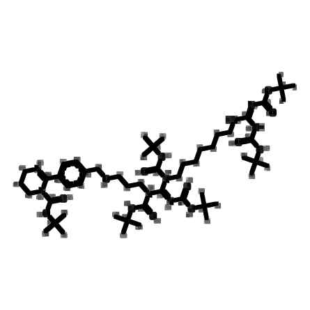 CC(C)(C)OC(=O)/N=C(/NCCCCCCCN(C(=O)OC(C)(C)C)/C(=N\C(=O)OC(C)(C)C)N(CCCOCc1ccc(C2=NCCCN2C(=O)OC(C)(C)C)cc1)C(=O)OC(C)(C)C)NC(=O)OC(C)(C)C